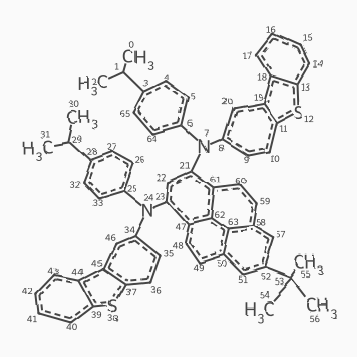 CC(C)c1ccc(N(c2ccc3sc4ccccc4c3c2)c2cc(N(c3ccc(C(C)C)cc3)c3ccc4sc5ccccc5c4c3)c3ccc4cc(C(C)(C)C)cc5ccc2c3c54)cc1